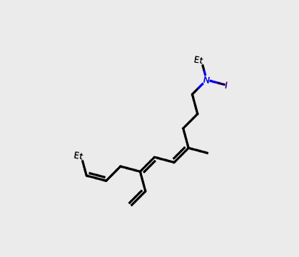 C=C/C(=C\C=C(\C)CCCN(I)CC)C/C=C\CC